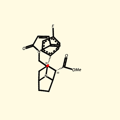 COC(=O)[C@@H]1C2CCC(C[C@@H]1c1ccc(F)cc1)N2CCN1C(=O)C=CC1=O